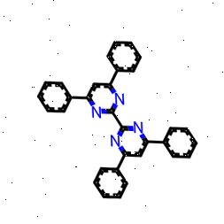 c1ccc(-c2cc(-c3ccccc3)nc(-c3nc(-c4ccccc4)cc(-c4ccccc4)n3)n2)cc1